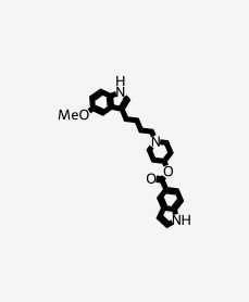 COc1ccc2[nH]cc(CCCCN3CCC(OC(=O)c4ccc5[nH]ccc5c4)CC3)c2c1